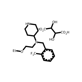 CCOCCN(Cc1ccccc1C(F)(F)F)C1CCNCC1.O=C(O)C(O)C(O)C(=O)O